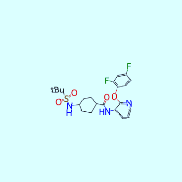 CC(C)(C)S(=O)(=O)NC1CCC(C(=O)Nc2cccnc2Oc2ccc(F)cc2F)CC1